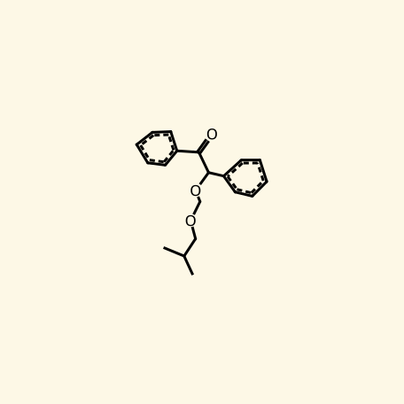 CC(C)COCOC(C(=O)c1ccccc1)c1ccccc1